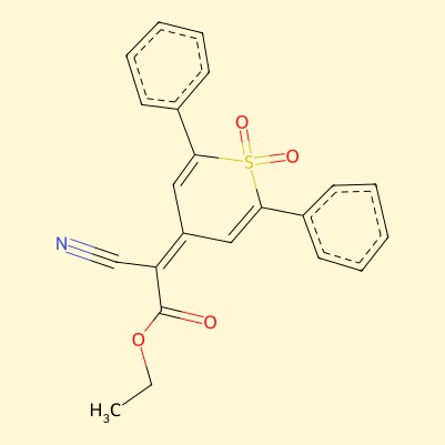 CCOC(=O)C(C#N)=C1C=C(c2ccccc2)S(=O)(=O)C(c2ccccc2)=C1